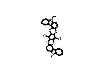 CCn1c2ccccc2c2c3c(ccc21)N=C1C(Cl)=C2OC4=C(CCc5c4c4ccccc4n5C)N=C2C(Cl)C1O3